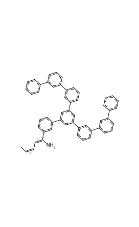 C/C=C\C=C(/N)c1cccc(-c2cc(-c3cccc(-c4cccc(-c5ccccc5)c4)c3)cc(-c3cccc(-c4cccc(-c5ccccc5)c4)c3)c2)c1